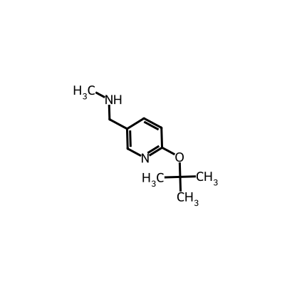 CNCc1ccc(OC(C)(C)C)nc1